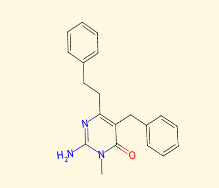 Cn1c(N)nc(CCc2ccccc2)c(Cc2ccccc2)c1=O